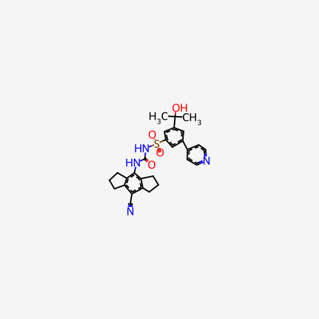 CC(C)(O)c1cc(-c2ccncc2)cc(S(=O)(=O)NC(=O)Nc2c3c(c(C#N)c4c2CCC4)CCC3)c1